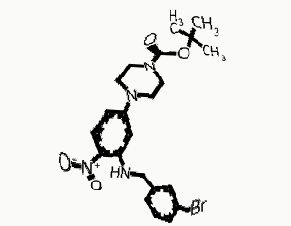 CC(C)(C)OC(=O)N1CCN(c2ccc([N+](=O)[O-])c(NCc3cccc(Br)c3)c2)CC1